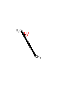 CCCCCCCCCCCCCCCCCCCCC(CCCCC)C(=O)O